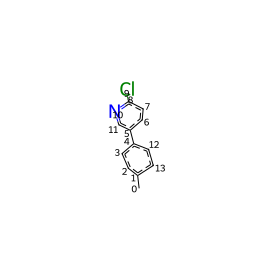 Cc1ccc(-c2ccc(Cl)nc2)cc1